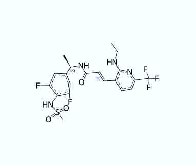 CCNc1nc(C(F)(F)F)ccc1/C=C/C(=O)N[C@H](C)c1cc(F)c(NS(C)(=O)=O)c(F)c1